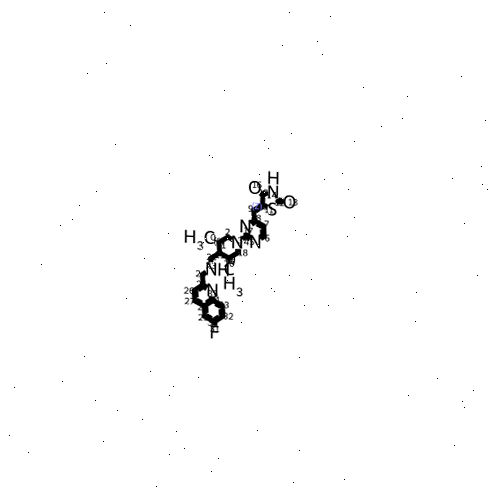 C[C@@H]1CN(c2nccc(/C=C3\SC(=O)NC3=O)n2)C[C@H](C)C1CNCc1ccc2cc(F)ccc2n1